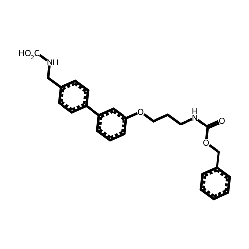 O=C(O)NCc1ccc(-c2cccc(OCCCNC(=O)OCc3ccccc3)c2)cc1